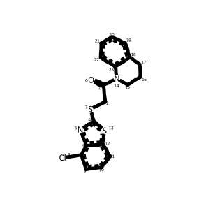 O=C(CSc1nc2c(Cl)cccc2s1)N1CCCc2ccccc21